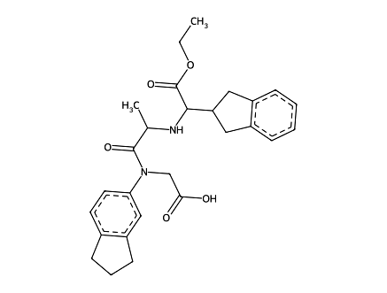 CCOC(=O)C(NC(C)C(=O)N(CC(=O)O)c1ccc2c(c1)CCC2)C1Cc2ccccc2C1